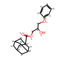 O=C(OCC(O)COc1ccccc1)C12CC3CC(CC(C3)C1)C2